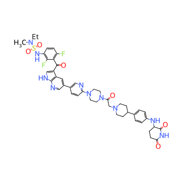 CCN(C)S(=O)(=O)Nc1ccc(F)c(C(=O)c2c[nH]c3ncc(-c4ccc(N5CCN(C(=O)CN6CCC(c7ccc(NC8CCC(=O)NC8=O)cc7)CC6)CC5)nc4)cc23)c1F